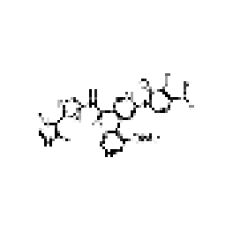 COc1cnccc1-c1cc(-n2ccc(C(F)F)c(F)c2=O)ncc1C(=O)Nc1nc(-c2c(C)ncn2C)ns1